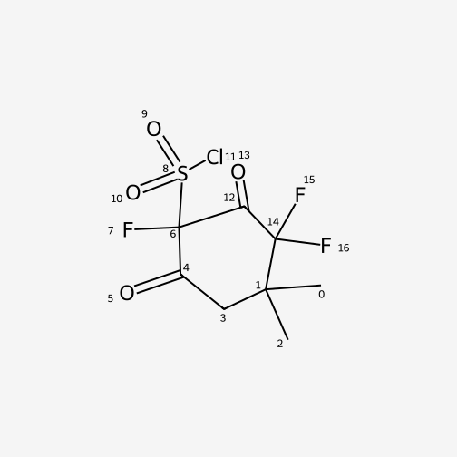 CC1(C)CC(=O)C(F)(S(=O)(=O)Cl)C(=O)C1(F)F